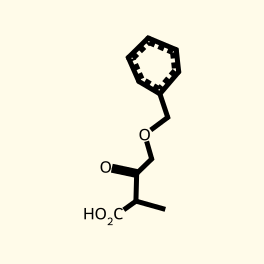 CC(C(=O)O)C(=O)COCc1ccccc1